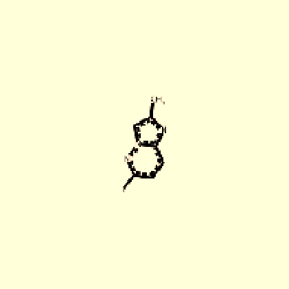 Cc1cn2nc(I)ccc2n1